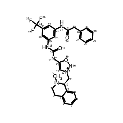 CN1CCc2ccccc2[C@@H]1C[n+]1cc([N-]C(=O)Nc2cc(NC(=O)Cc3ccccc3)cc(C(F)(F)F)c2)on1